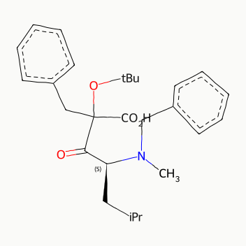 CC(C)C[C@@H](C(=O)C(Cc1ccccc1)(OC(C)(C)C)C(=O)O)N(C)Cc1ccccc1